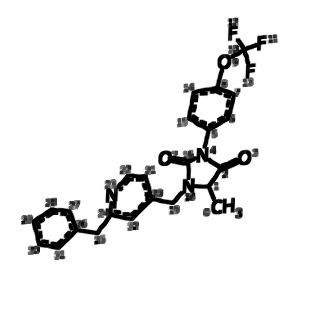 CC1C(=O)N(c2ccc(OC(F)(F)F)cc2)C(=O)N1Cc1ccnc(Cc2ccccc2)c1